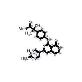 C=C(N)/N=C\C(=C/N)c1cc2cc[nH]c(=O)c2c(Nc2ccc(C(C)(C)C(=O)NC)cc2)n1